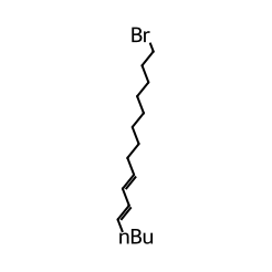 CCCCC=CC=CCCCCCCCCBr